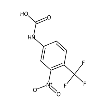 O=C(O)Nc1ccc(C(F)(F)F)c([N+](=O)[O-])c1